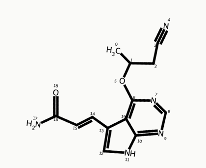 CC(CC#N)Oc1ncnc2[nH]cc(C=CC(N)=O)c12